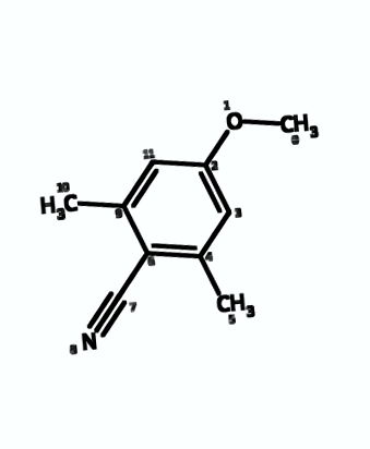 COc1cc(C)c(C#N)c(C)c1